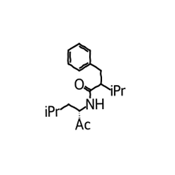 CC(=O)[C@H](CC(C)C)NC(=O)C(Cc1ccccc1)C(C)C